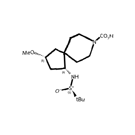 CO[C@H]1C[C@@H](N[S@+]([O-])C(C)(C)C)C2(CCN(C(=O)O)CC2)C1